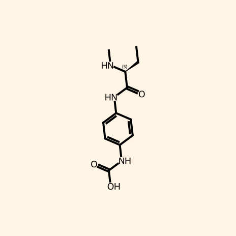 CC[C@H](NC)C(=O)Nc1ccc(NC(=O)O)cc1